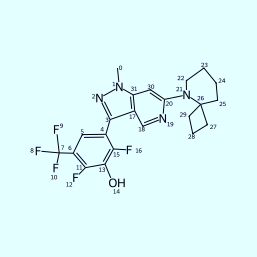 Cn1nc(-c2cc(C(F)(F)F)c(F)c(O)c2F)c2cnc(N3CCCCC34CCC4)cc21